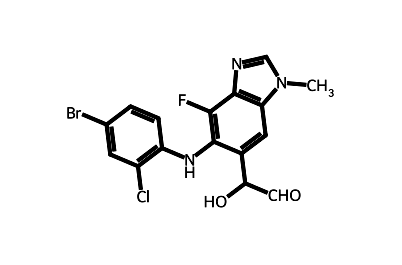 Cn1cnc2c(F)c(Nc3ccc(Br)cc3Cl)c(C(O)C=O)cc21